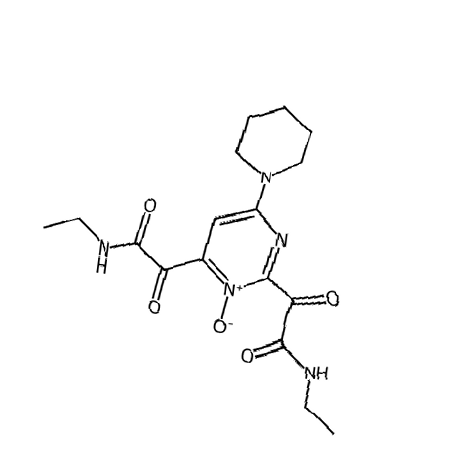 CCNC(=O)C(=O)c1cc(N2CCCCC2)nc(C(=O)C(=O)NCC)[n+]1[O-]